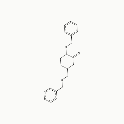 O=C1CC(COCc2ccccc2)CCC1OCc1ccccc1